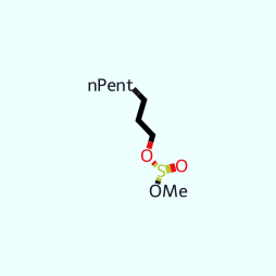 CCCCCCCCOS(=O)OC